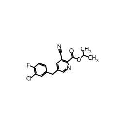 CC(C)OC(=O)c1ncc(Cc2ccc(F)c(Cl)c2)cc1C#N